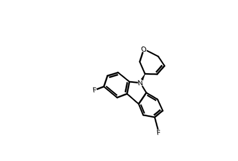 Fc1ccc2c(c1)c1cc(F)ccc1n2[C@@H]1C=CCOC1